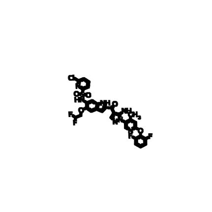 Cc1cc(Oc2c(F)cccc2F)ncc1-n1ncc(C(=O)c2cc3cc(OCC(F)F)c(NS(=O)(=O)c4cccc(Cl)n4)cc3[nH]2)c1N